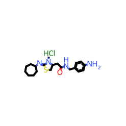 CN1C(=NC2CCCCCC2)SCC1CC(=O)NCc1ccc(N)cc1.Cl